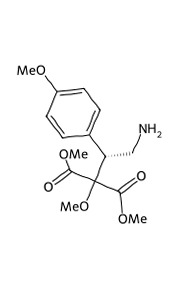 COC(=O)C(OC)(C(=O)OC)[C@@H](CN)c1ccc(OC)cc1